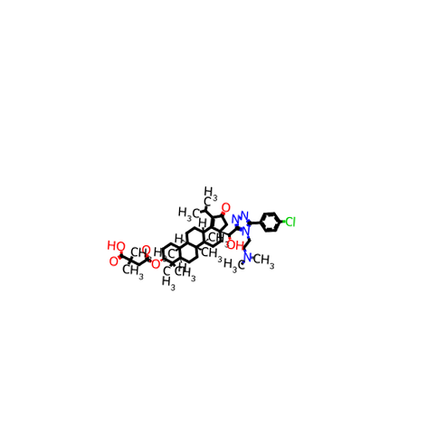 CC(C)C1=C2[C@H]3CC[C@@H]4[C@@]5(C)CC[C@H](OC(=O)CC(C)(C)C(=O)O)C(C)(C)[C@@H]5CC[C@@]4(C)[C@]3(C)CC[C@@]2(C(O)c2nnc(-c3ccc(Cl)cc3)n2CCN(C)C)CC1=O